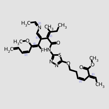 C=C\C=C/C(OC)=C(F)/C(=C/N=C\C)C(/C(=O)Nc1nnc(OCC/C=C\C(=C/C)C(=O)OC)s1)=C(\C)CC